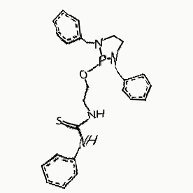 S=C(NCCOP1N(c2ccccc2)CCN1c1ccccc1)Nc1ccccc1